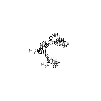 CN(C)/C=N/c1ncnc2c1c(C#CCOCSSC(C)(C)CNC(=O)C(F)(F)F)cn2[C@H]1CC(OCN)[C@@H](CO[Si](C)(C)C(C)(C)C)O1